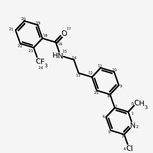 Cc1nc(Cl)ccc1-c1cccc(CCNC(=O)c2ccccc2C(F)(F)F)c1